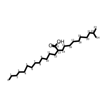 CCCCCCCCCCCCCC(CCCCCCCCC(C)C)C(=O)O